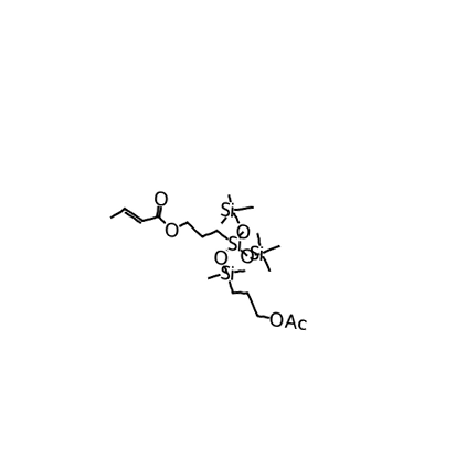 CC=CC(=O)OCCC[Si](O[Si](C)(C)C)(O[Si](C)(C)C)O[Si](C)(C)CCCOC(C)=O